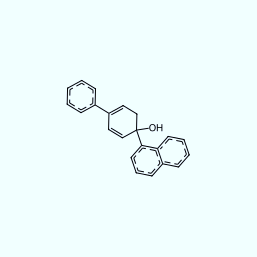 OC1(c2cccc3ccccc23)C=CC(c2ccccc2)=CC1